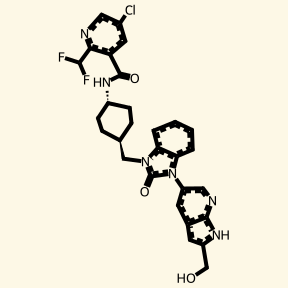 O=C(N[C@H]1CC[C@H](Cn2c(=O)n(-c3cnc4[nH]c(CO)cc4c3)c3ccccc32)CC1)c1cc(Cl)cnc1C(F)F